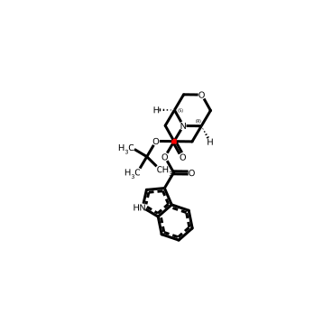 CC(C)(C)OC(=O)N1[C@@H]2COC[C@H]1CC(OC(=O)c1c[nH]c3ccccc13)C2